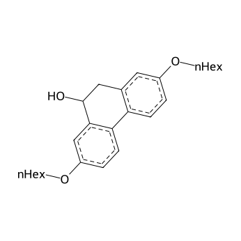 CCCCCCOc1ccc2c(c1)CC(O)c1cc(OCCCCCC)ccc1-2